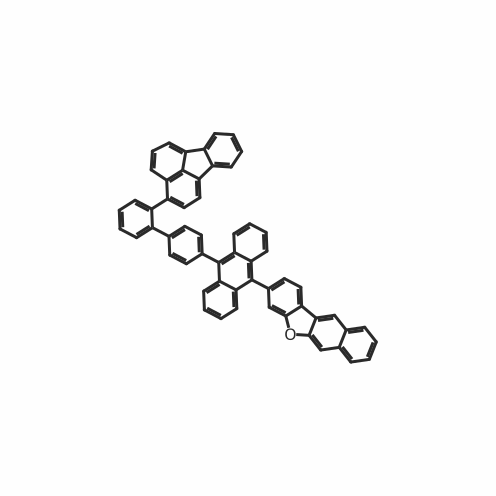 c1ccc(-c2ccc3c4c(cccc24)-c2ccccc2-3)c(-c2ccc(-c3c4ccccc4c(-c4ccc5c(c4)oc4cc6ccccc6cc45)c4ccccc34)cc2)c1